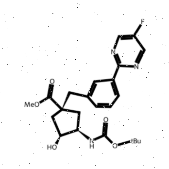 COC(=O)[C@@]1(Cc2cccc(-c3ncc(F)cn3)c2)C[C@H](O)[C@H](NC(=O)OC(C)(C)C)C1